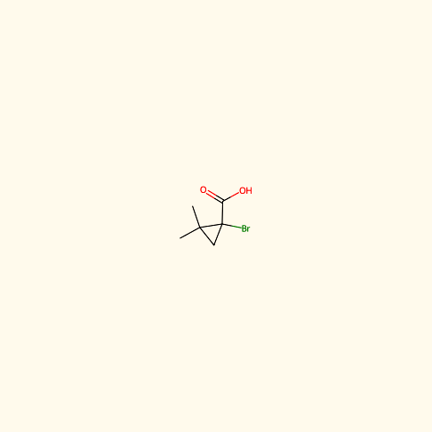 CC1(C)CC1(Br)C(=O)O